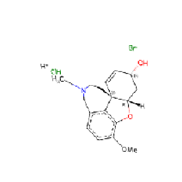 COc1ccc2c3c1O[C@H]1C[C@@H](O)C=C[C@@]31CCN(C)C2.Cl.[Br-].[H+]